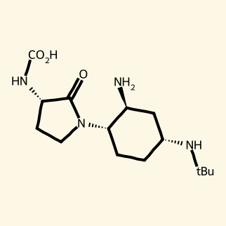 CC(C)(C)N[C@@H]1CC[C@H](N2CC[C@H](NC(=O)O)C2=O)[C@@H](N)C1